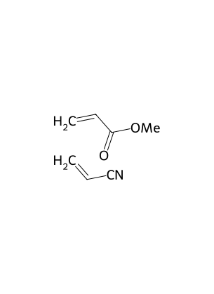 C=CC#N.C=CC(=O)OC